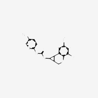 N#Cc1ccc(NC(=O)NC2C3COc4c(Br)cc(F)cc4C32)nc1